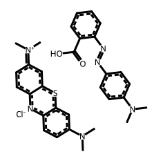 CN(C)c1ccc(N=Nc2ccccc2C(=O)O)cc1.CN(C)c1ccc2nc3ccc(=[N+](C)C)cc-3sc2c1.[Cl-]